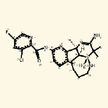 CC1(C)C(N)=N[C@](C)(c2nc(NC(=O)c3ncc(F)cc3Cl)ccc2F)[C@@H]2CCCCNS21O